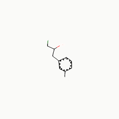 OC(CCl)Cc1cccc(C(F)(F)F)c1